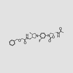 CC(=O)NC[C@H]1CN(c2ccc(N3C[C@@H](CNC(=O)COCc4ccccc4)[C@@H](C)C3)c(F)c2)C(=O)O1